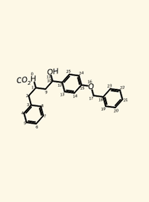 O=C(O)C(Cc1ccccc1)CC(O)c1ccc(OCc2ccccc2)cc1